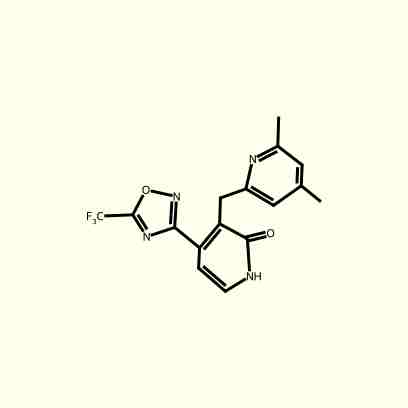 Cc1cc(C)nc(Cc2c(-c3noc(C(F)(F)F)n3)cc[nH]c2=O)c1